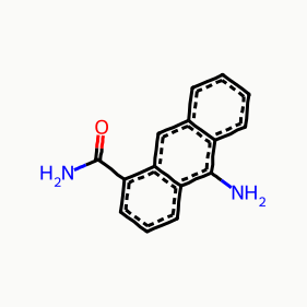 NC(=O)c1cccc2c(N)c3ccccc3cc12